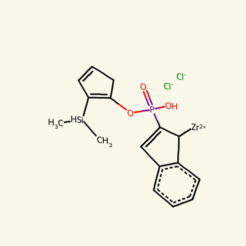 C[SiH](C)C1=C(OP(=O)(O)C2=Cc3ccccc3[CH]2[Zr+2])CC=C1.[Cl-].[Cl-]